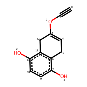 C#COC1=CCc2c(O)ccc(O)c2C1